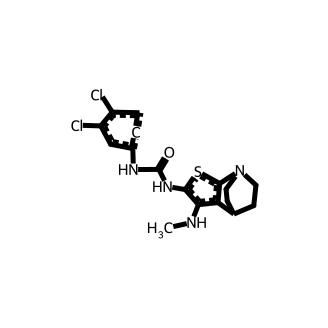 CNc1c(NC(=O)Nc2ccc(Cl)c(Cl)c2)sc2c1C1CCN2CC1